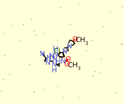 COC(=O)Nc1cc(Nc2nc(NC3CC3)c3ncc(C#N)n3n2)c(Cl)c(N2CC(N3CCC(OC)CC3)C2)c1